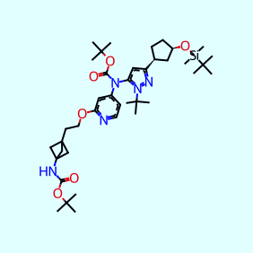 CC(C)(C)OC(=O)NC12CC(CCOc3cc(N(C(=O)OC(C)(C)C)c4cc([C@H]5CC[C@@H](O[Si](C)(C)C(C)(C)C)C5)nn4C(C)(C)C)ccn3)(C1)C2